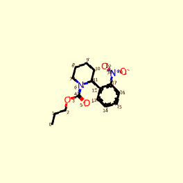 CCCOC(=O)N1CCCCC1c1ccccc1[N+](=O)[O-]